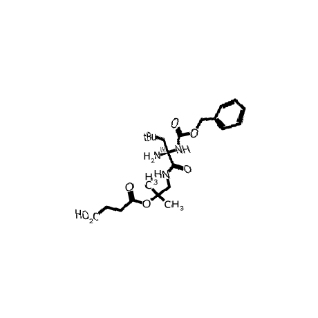 CC(C)(C)C[C@](N)(NC(=O)OCc1ccccc1)C(=O)NCC(C)(C)OC(=O)CCC(=O)O